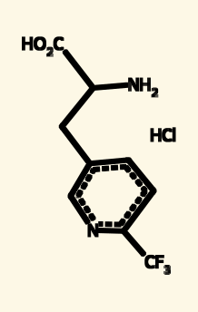 Cl.NC(Cc1ccc(C(F)(F)F)nc1)C(=O)O